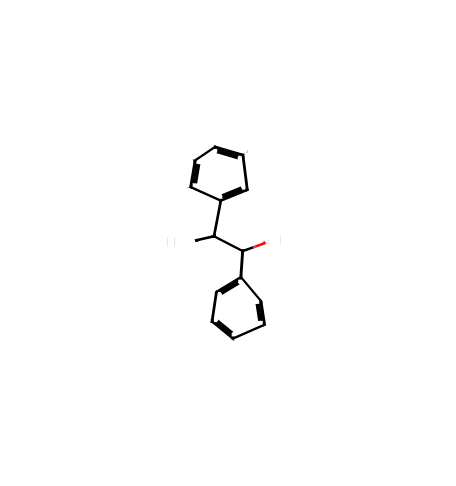 CC(c1ccccc1)C(O)c1ccccc1